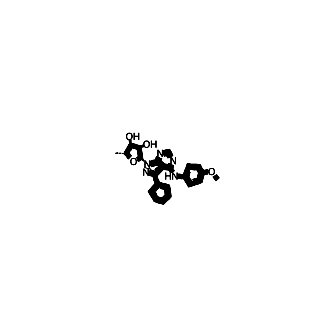 COc1ccc(Nc2ncnc3c2c(-c2ccccc2)nn3[C@@H]2O[C@H](C)[C@@H](O)[C@H]2O)cc1